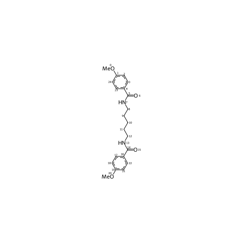 COc1ccc(C(=O)NCCCCCNC(=O)c2ccc(OC)cc2)cc1